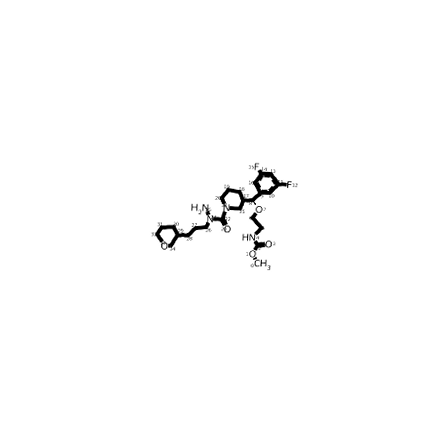 COC(=O)NCCO[C@@H](c1cc(F)cc(F)c1)C1CCCN(C(=O)N(N)CCCC2CCCOC2)C1